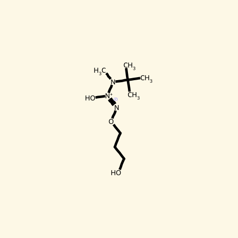 CN(/[N+](O)=N/OCCCO)C(C)(C)C